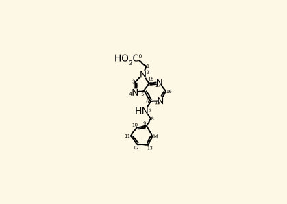 O=C(O)Cn1cnc2c(NCc3ccccc3)ncnc21